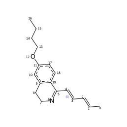 CC=C/C=C/C1=NCCc2cc(OCCCC)ccc21